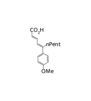 CCCCCC(=CC=CC(=O)O)c1ccc(OC)cc1